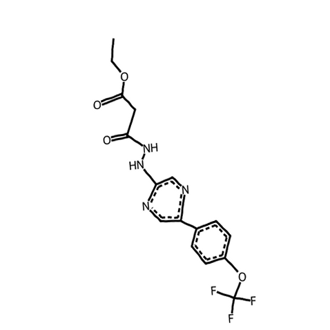 CCOC(=O)CC(=O)NNc1cnc(-c2ccc(OC(F)(F)F)cc2)cn1